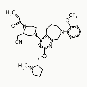 C=CC(=O)N1CCN(c2nc(OC[C@@H]3CCCN3C)nc3c2CCCN(c2ccccc2OC(F)(F)F)C3)CC1CC#N